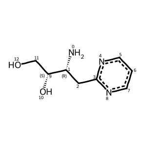 N[C@H](Cc1ncccn1)[C@H](O)CO